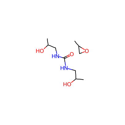 CC(O)CNC(=O)NCC(C)O.CC1CO1